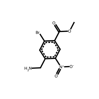 COC(=O)c1cc([N+](=O)[O-])c(CN)cc1Br